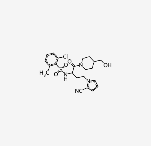 Cc1cccc(Cl)c1S(=O)(=O)NC(CCn1cccc1C#N)C(=O)N1CCC(CO)CC1